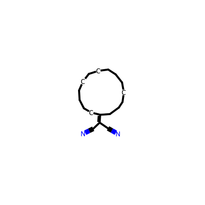 N#CC(C#N)=C1CCCCCCCCCCCCCC1